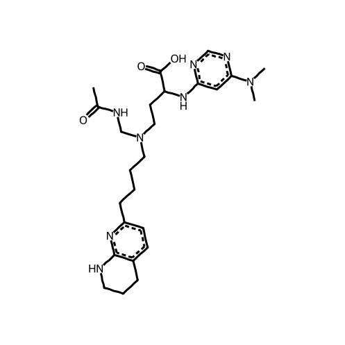 CC(=O)NCN(CCCCc1ccc2c(n1)NCCC2)CCC(Nc1cc(N(C)C)ncn1)C(=O)O